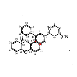 N#CC1=CC=NC(c2cccc(-c3ccccc3N3c4ccccc4OC4C=CC=C[C@@H]43)c2)C1